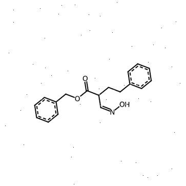 O=C(OCc1ccccc1)C(/C=N\O)CCc1ccccc1